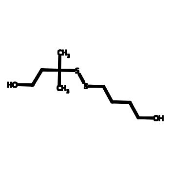 CC(C)(CCO)SSCCCCO